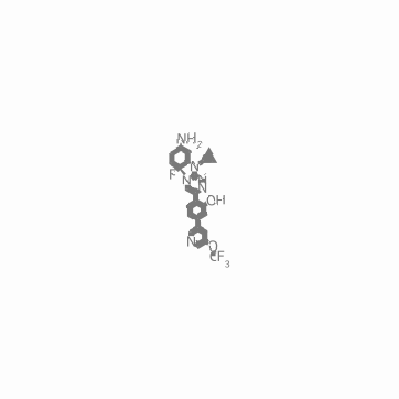 C[C@@]1(F)CC[C@H](N)C[C@@H]1N(c1ncc(-c2ccc(-c3cncc(OC(F)(F)F)c3)cc2O)nn1)C1CC1